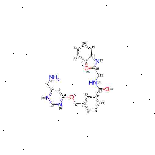 NCc1cc(OCc2cccc(C(=O)NCc3nc4ccccc4o3)c2)ncn1